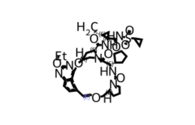 C=C[C@@H]1C[C@]1(NC(=O)[C@@H]1C[C@@H]2CN1C(=O)[C@H](C1CCCC1)NC(=O)N1CCC[C@H]1CO/C=C/c1ccc3nc(OCC)nc(c3c1)O2)C(=O)NS(=O)(=O)C1CC1